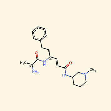 C[C@H](N)C(=O)N[C@H](C=CC(=O)NC1CCCN(C)C1)CCc1ccccc1